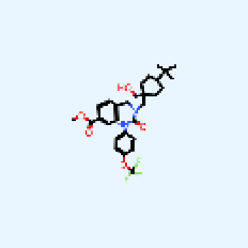 COC(=O)c1ccc(CN(CC2(CO)CCC(C(C)(C)C)CC2)C(=O)Nc2ccc(OC(F)(F)F)cc2)cc1